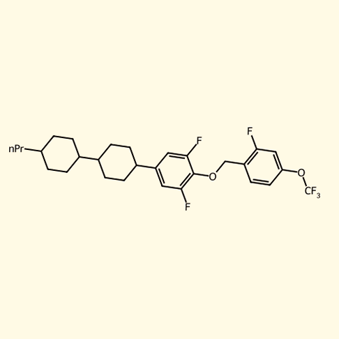 CCCC1CCC(C2CCC(c3cc(F)c(OCc4ccc(OC(F)(F)F)cc4F)c(F)c3)CC2)CC1